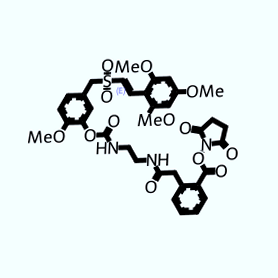 COc1cc(OC)c(/C=C/S(=O)(=O)Cc2ccc(OC)c(OC(=O)NCCNC(=O)Cc3ccccc3C(=O)ON3C(=O)CCC3=O)c2)c(OC)c1